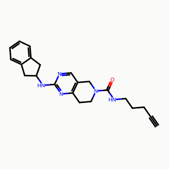 C#CCCCNC(=O)N1CCc2nc(NC3Cc4ccccc4C3)ncc2C1